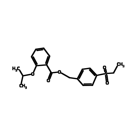 CCS(=O)(=O)c1ccc(COC(=O)c2ccccc2OC(C)C)cc1